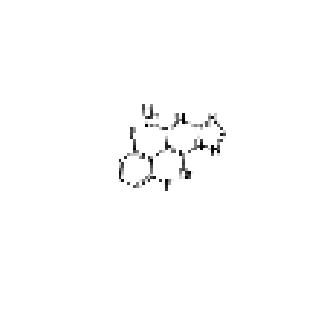 Cc1nc2ncnn2c(Br)c1-c1c(F)cccc1F